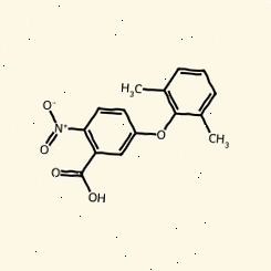 Cc1cccc(C)c1Oc1ccc([N+](=O)[O-])c(C(=O)O)c1